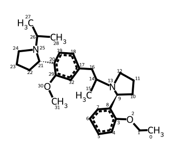 CCOc1ccccc1[C@@H]1CCCN1C(C)Cc1ccc([C@@H]2CCCN2C(C)C)c(OC)c1